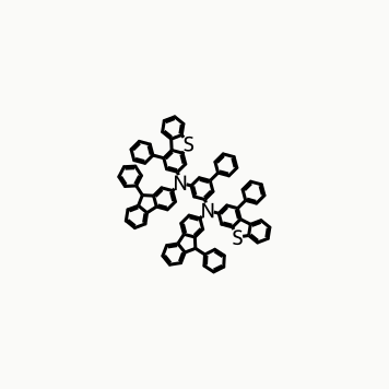 c1ccc(-c2cc(N(c3ccc4c(c3)C(c3ccccc3)c3ccccc3-4)c3cc(-c4ccccc4)c4c(c3)sc3ccccc34)cc(N(c3ccc4c(c3)C(c3ccccc3)c3ccccc3-4)c3cc(-c4ccccc4)c4c(c3)sc3ccccc34)c2)cc1